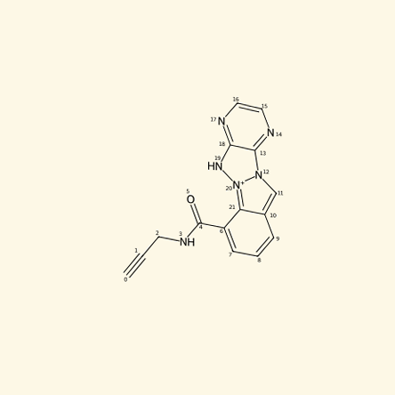 C#CCNC(=O)c1cccc2cn3c4nccnc4[nH][n+]3c12